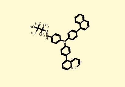 C/C=C\C=C1/CC=CC=C1c1ccc(N(c2ccc(BOC(C)(C)C(C)(C)O)cc2)c2ccc(-c3cccc4ccccc34)cc2)cc1